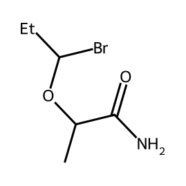 CCC(Br)OC(C)C(N)=O